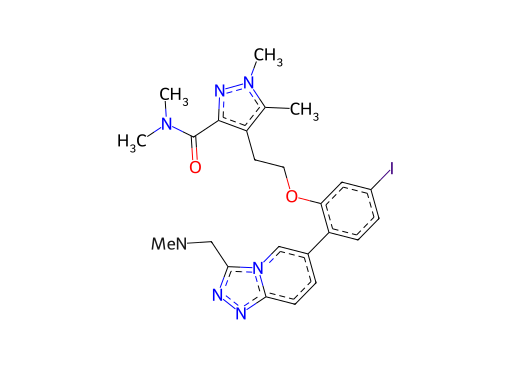 CNCc1nnc2ccc(-c3ccc(I)cc3OCCc3c(C(=O)N(C)C)nn(C)c3C)cn12